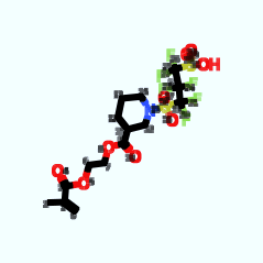 C=C(C)C(=O)OCCOC(=O)C1CCCN(S(=O)(=O)C(F)(F)C(F)(F)C(F)(F)S(=O)(=O)O)C1